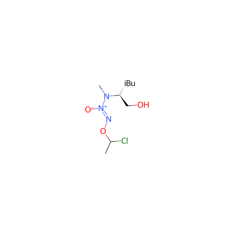 CC[C@@H](C)[C@@H](CO)N(C)/[N+]([O-])=N/OC(C)Cl